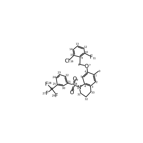 Cc1cc2c(cc1OCc1c(F)cccc1Cl)N(S(=O)(=O)c1cccc(C(F)(F)F)c1)CCC2